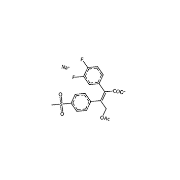 CC(=O)OC/C(=C(\C(=O)[O-])c1ccc(F)c(F)c1)c1ccc(S(C)(=O)=O)cc1.[Na+]